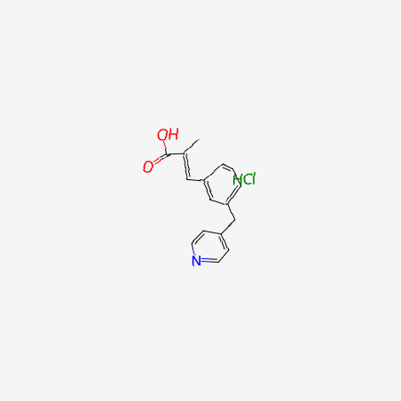 C/C(=C\c1cccc(Cc2ccncc2)c1)C(=O)O.Cl